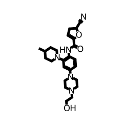 CC1CCN(c2cc(N3CCN(CCO)CC3)ccc2NC(=O)C2=CCC(C#N)O2)CC1